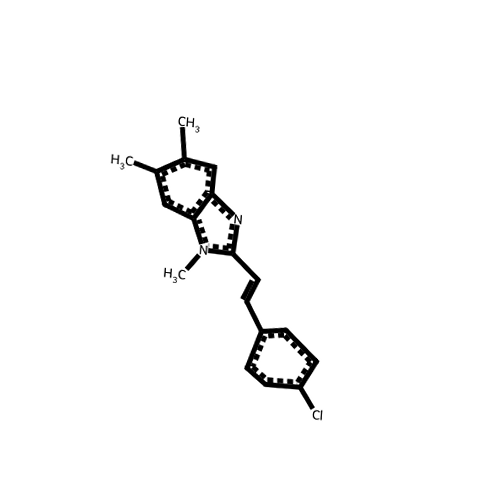 Cc1cc2nc(/C=C/c3ccc(Cl)cc3)n(C)c2cc1C